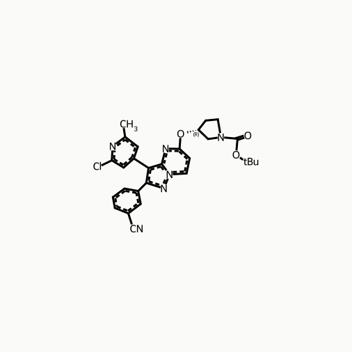 Cc1cc(-c2c(-c3cccc(C#N)c3)nn3ccc(O[C@@H]4CCN(C(=O)OC(C)(C)C)C4)nc23)cc(Cl)n1